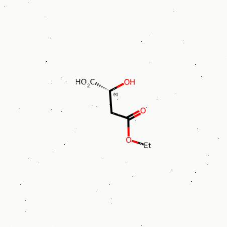 CCOC(=O)C[C@@H](O)C(=O)O